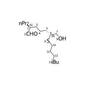 CCC[C@H](C=O)CCC[C@H](CO)SCCCC(C)CC